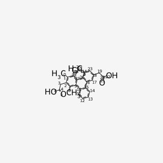 Cc1c(CC(=O)O)c(C)c2c3ccccc3c3cc(CC(=O)O)cc(C)c3c2c1C